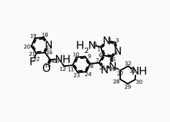 Nc1ncnc2c1c(-c1ccc(CNC(=O)c3ncccc3F)cc1)nn2[C@@H]1CCCNC1